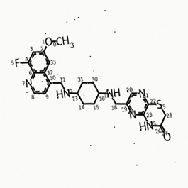 COc1cc(F)c2nccc(CNC3CCC(NCc4cnc5c(n4)NC(=O)CS5)CC3)c2c1